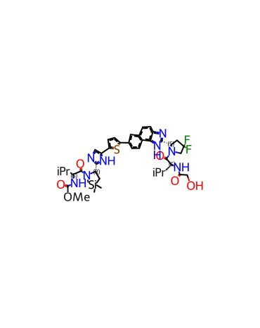 COC(=O)N[C@H](C(=O)N1C[Si](C)(C)C[C@H]1c1ncc(-c2ccc(-c3ccc4c(ccc5nc([C@@H]6CC(F)(F)CN6C(=O)[C@@H](NC(=O)CO)C(C)C)[nH]c54)c3)s2)[nH]1)C(C)C